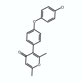 Cc1cc(=O)c(-c2ccc(Oc3ccc(Cl)cc3)cc2)c(C)o1